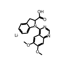 COc1cc2ncnc(N3c4ccccc4CC3C(=O)O)c2cc1OC.[Li]